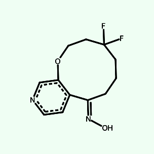 O/N=C1\CCCC(F)(F)CCOc2cnccc21